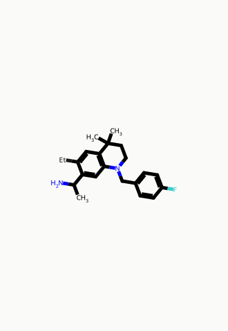 CCc1cc2c(cc1C(C)N)N(Cc1ccc(F)cc1)CCC2(C)C